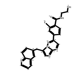 O=C(NCCO)c1ccc(-c2cnc3ncc(Cc4ccc5ncccc5c4)n3n2)cc1F